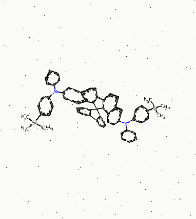 C[Si](C)(C)c1ccc(N(c2ccccc2)c2ccc3c4c(ccc3c2)-c2ccc3cc(N(c5ccccc5)c5ccc([Si](C)(C)C)cc5)ccc3c2C42c3ccccc3-c3ccccc32)cc1